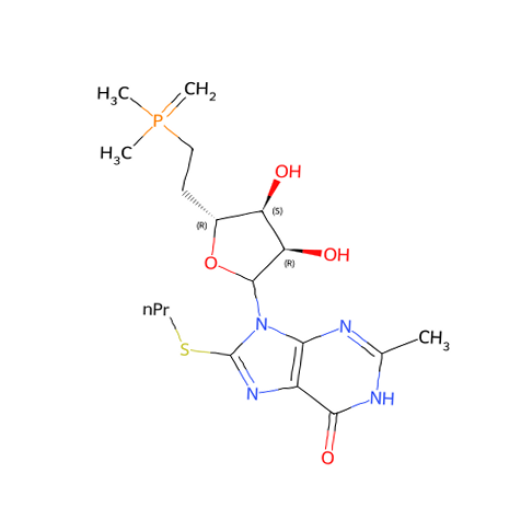 C=P(C)(C)CC[C@H]1OC(n2c(SCCC)nc3c(=O)[nH]c(C)nc32)[C@H](O)[C@@H]1O